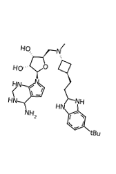 CN(C[C@H]1O[C@@H](n2ccc3c2NCNC3N)[C@H](O)[C@@H]1O)[C@H]1C[C@H](CCC2Nc3ccc(C(C)(C)C)cc3N2)C1